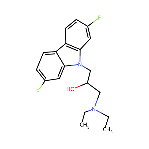 CCN(CC)CC(O)Cn1c2cc(F)ccc2c2ccc(F)cc21